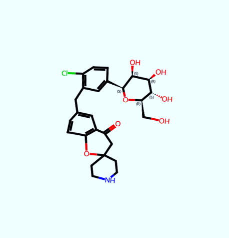 O=C1CC2(CCNCC2)Oc2ccc(Cc3cc([C@@H]4O[C@H](CO)[C@@H](O)[C@H](O)[C@@H]4O)ccc3Cl)cc21